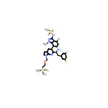 Cn1nc(NS(C)(=O)=O)c2c(Cl)ccc(-c3cc4ccn(COCCS(C)(C)C)c4nc3C(N)Cc3cc(F)cc(F)c3)c21